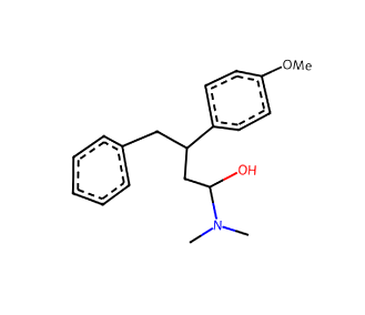 COc1ccc(C(Cc2ccccc2)CC(O)N(C)C)cc1